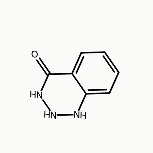 O=C1NNNc2ccccc21